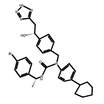 C[C@@H](NC(=O)N(Cc1ccc([C@H](O)Cc2nn[nH]n2)cc1)c1ccc(C2CCCCC2)cc1)c1ccc(Br)cc1